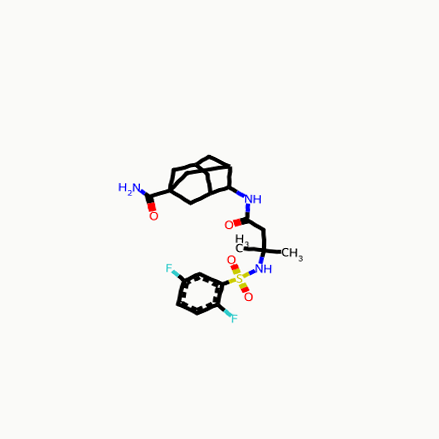 CC(C)(CC(=O)NC1C2CC3CC1CC(C(N)=O)(C3)C2)NS(=O)(=O)c1cc(F)ccc1F